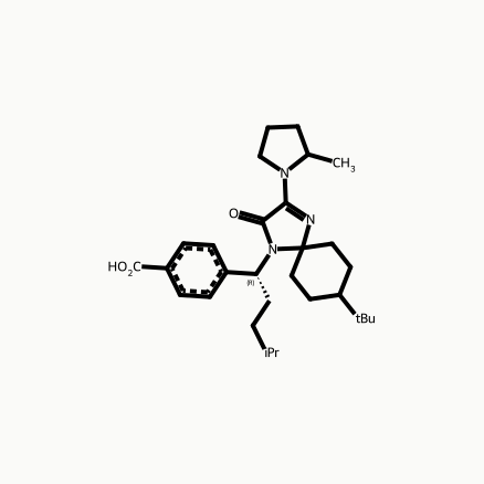 CC(C)CC[C@H](c1ccc(C(=O)O)cc1)N1C(=O)C(N2CCCC2C)=NC12CCC(C(C)(C)C)CC2